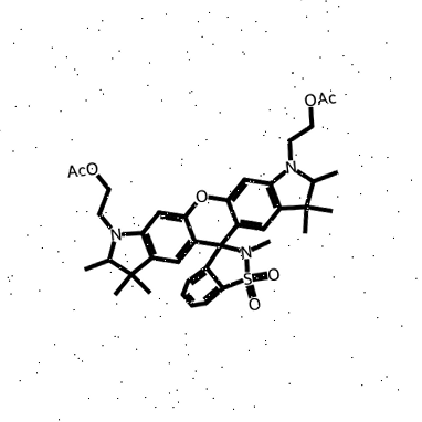 CC(=O)OCCN1c2cc3c(cc2C(C)(C)C1C)C1(c2cc4c(cc2O3)N(CCOC(C)=O)C(C)C4(C)C)c2ccccc2S(=O)(=O)N1C